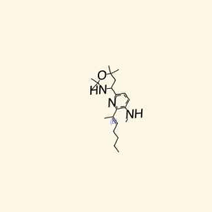 CCCC/C=C(\C)c1nc(C2CC(C)(C)OC(C)(C)N2)ccc1NC